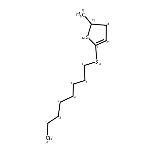 CCCCCCCCSC1=CCC(C)S1